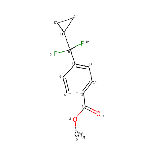 COC(=O)c1ccc(C(F)(F)C2CC2)cc1